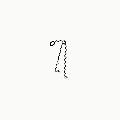 CCCCCCCCCCCCCCCCCn1cc[n+](CCCc2ccccc2)c1CCCCCCCCCCCCCC